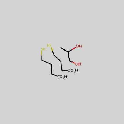 CC(O)CO.O=C(O)CCCS.O=C(O)CCCS